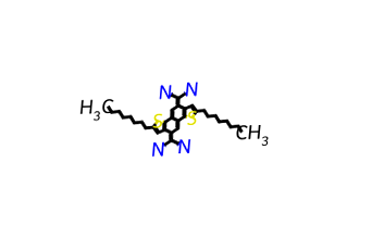 CCCCCCCCc1cc2c(=C(C#N)C#N)cc3c(cc(=C(C#N)C#N)c4cc(CCCCCCCC)sc43)c2s1